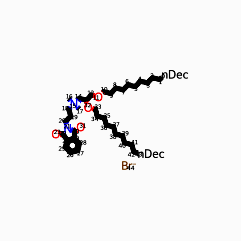 CCCCCCCCCCCCCCCCCCCCOCC(C[N+](C)(C)CCCN1C(=O)c2ccccc2C1=O)OCCCCCCCCCCCCCCCCCCCC.[Br-]